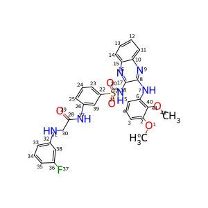 COc1cccc(Nc2nc3ccccc3nc2NS(=O)(=O)c2cccc(NC(=O)CNc3cccc(F)c3)c2)c1OC